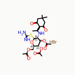 Br.CC(=O)OC[C@H]1O[C@@H](SC(=N)N)[C@H](NC(C)=C2C(=O)CC(C)(C)CC2=O)[C@@H](OC(C)=O)[C@@H]1OC(C)=O